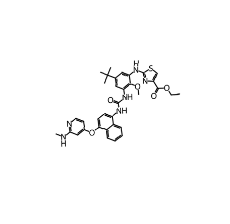 CCOC(=O)c1csc(Nc2cc(C(C)(C)C)cc(NC(=O)Nc3ccc(Oc4ccnc(NC)c4)c4ccccc34)c2OC)n1